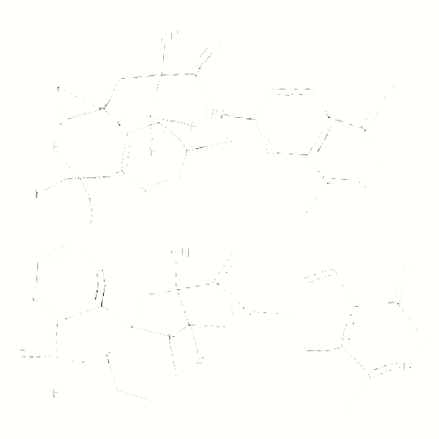 Cc1noc(=O)c2ccc(NC(=O)C(O)(CC3(c4cc(F)ccc4C(F)(F)F)CC3)C(F)(F)F)cc12.Cc1noc(=O)c2ccc(NC(=O)C(O)(CC3(c4ccccc4C(F)(F)F)CCCCC3)C(F)(F)F)cc12